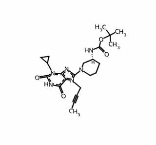 CC#CCn1c(N2CCC[C@@H](NC(=O)OC(C)(C)C)C2)nc2c1c(=O)[nH]c(=O)n2C1CC1